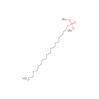 CC(C)(C)OP(=O)(CCCCCCCCCCCCCCCCCCC(=O)O)OC(C)(C)C